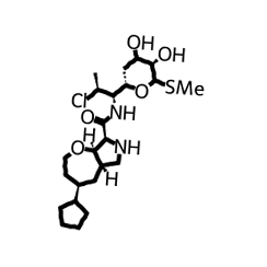 CSC1O[C@H]([C@H](NC(=O)[C@H]2NC[C@@H]3C[C@@H](C4CCCC4)CCO[C@H]32)[C@H](C)Cl)CC(O)[C@H]1O